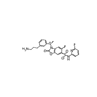 C[C@H](c1cccc(CCCN)c1)n1c(=O)oc2cc(S(=O)(=O)Nc3cccc(F)n3)c(F)cc21